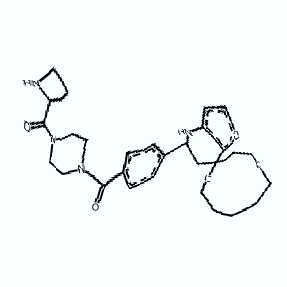 O=C(c1ccc(C2CC3(CCCCCCCCC3)c3occc3N2)cc1)N1CCN(C(=O)C2CCN2)CC1